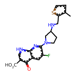 Cc1ccsc1CNC1CCN(c2nc3[nH]cc(C(=O)O)c(=O)c3cc2F)C1